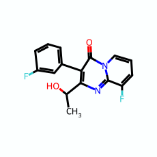 CC(O)c1nc2c(F)cccn2c(=O)c1-c1cccc(F)c1